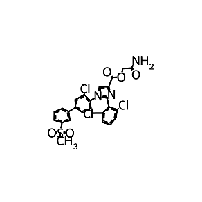 CS(=O)(=O)c1cccc(-c2ccc(-n3cc(C(=O)OCC(N)=O)nc3-c3c(Cl)cccc3Cl)c(Cl)c2)c1